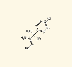 CC(C)[C@@](C)(/C(N)=N/O)c1ccc(Cl)nc1